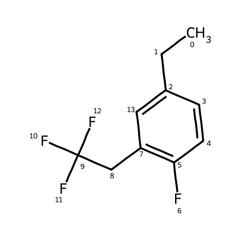 CCc1ccc(F)c(CC(F)(F)F)c1